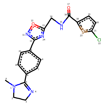 CN1CCN=C1c1ccc(-c2noc(CNC(=O)c3ccc(Cl)s3)n2)cc1